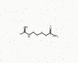 CC(=N)NCCCCC(N)=O